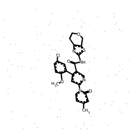 COc1ccc(Cl)cc1-c1cc(-n2ccc(C)cc2=O)ncc1C(=O)Nc1nc2c(s1)COCC2